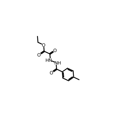 CCOC(=O)C(=O)NNC(=O)c1ccc(C)cc1